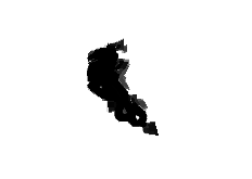 CCCCC1(O)CC[C@H]2[C@@H]3CC=C4CC(O)CC[C@]4(C)[C@@H]3CC[C@@]21C